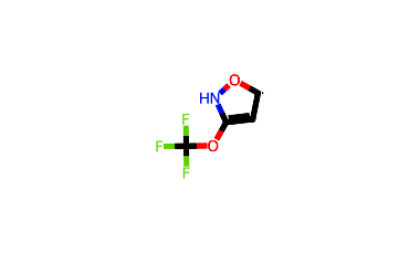 FC(F)(F)OC1=C[CH]ON1